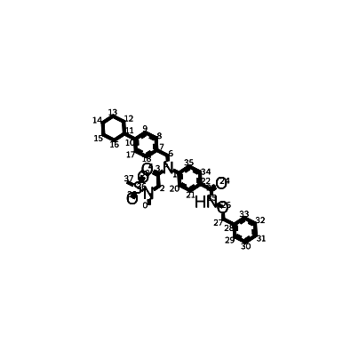 CN(CC(=O)N(Cc1ccc(C2CCCCC2)cc1)c1ccc(C(=O)NOCc2ccccc2)cc1)S(C)(=O)=O